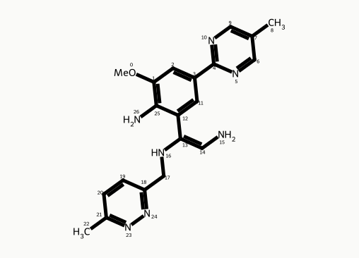 COc1cc(-c2ncc(C)cn2)cc(/C(=C\N)NCc2ccc(C)nn2)c1N